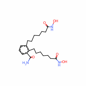 NC(=O)c1cccc(CCCCCCC(=O)NO)c1CCCCCCC(=O)NO